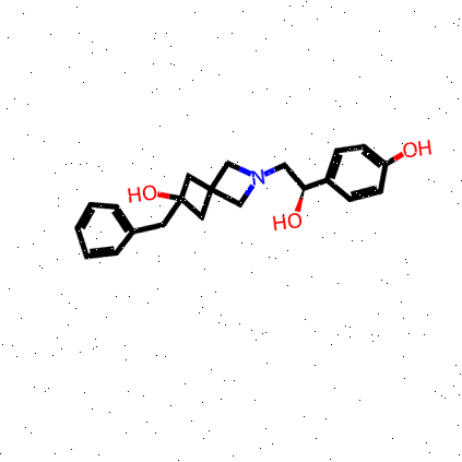 Oc1ccc([C@@H](O)CN2CC3(C2)CC(O)(Cc2ccccc2)C3)cc1